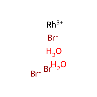 O.O.[Br-].[Br-].[Br-].[Rh+3]